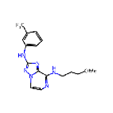 COCCCNc1nccn2nc(Nc3cccc(C(F)(F)F)c3)nc12